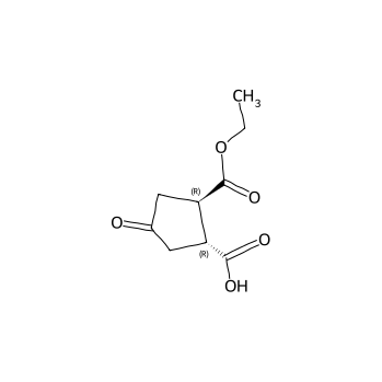 CCOC(=O)[C@@H]1CC(=O)C[C@H]1C(=O)O